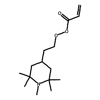 C=CC(=O)OOCCC1CC(C)(C)N(C)C(C)(C)C1